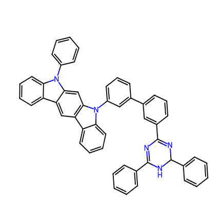 c1ccc(C2=NC(c3cccc(-c4cccc(-n5c6ccccc6c6cc7c8ccccc8n(-c8ccccc8)c7cc65)c4)c3)=NC(c3ccccc3)N2)cc1